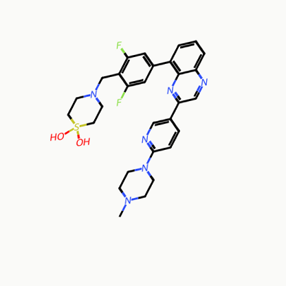 CN1CCN(c2ccc(-c3cnc4cccc(-c5cc(F)c(CN6CCS(O)(O)CC6)c(F)c5)c4n3)cn2)CC1